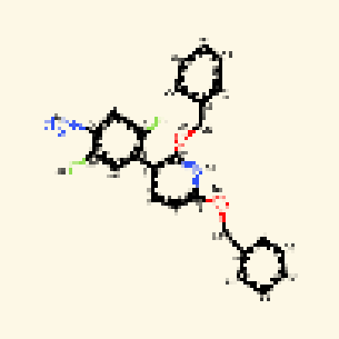 Nc1cc(F)c(-c2ccc(OCc3ccccc3)nc2OCc2ccccc2)cc1F